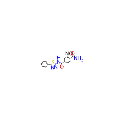 NC(=O)c1ccc(C(=O)Nc2nnc(-c3ccccc3)s2)cc1[N+](=O)[O-]